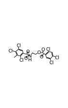 Cc1c(Cl)c(Cl)cc(S(=O)(=O)NCCOS(=O)(=O)c2cc(Cl)c(Cl)cc2Cl)c1Cl